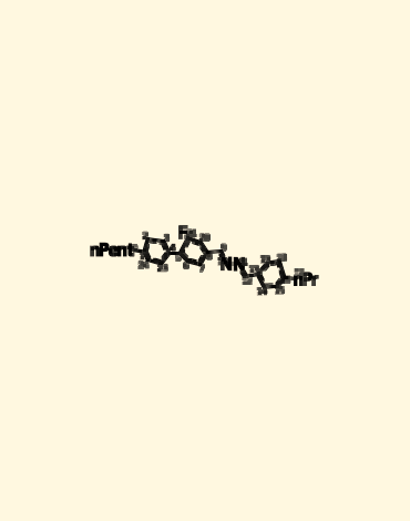 CCCCCc1ccc(-c2ccc(C=NN=Cc3ccc(CCC)cc3)cc2F)cc1